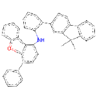 CC1(C)c2ccccc2-c2ccc(-c3ccccc3Nc3ccc(-c4ccccc4)c4oc5ccccc5c34)cc21